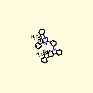 CC1(C)c2ccccc2-c2cc3c4ccccc4n(-c4cccc(-c5nc(-c6ccccc6)c6c(n5)-c5ccccc5[Si]6(C)C)c4)c3cc21